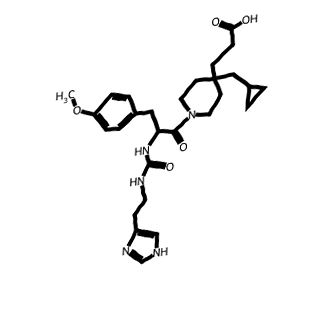 COc1ccc(CC(NC(=O)NCCc2c[nH]cn2)C(=O)N2CCC(CCC(=O)O)(CC3CC3)CC2)cc1